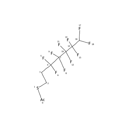 CC(=O)SCCC(F)(F)C(F)(F)C(F)(F)C(F)(F)C(F)F